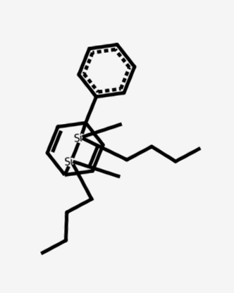 CCCC[Si]1(C)C2C=CC(c3ccccc3)(C=C2)[Si]1(C)CCCC